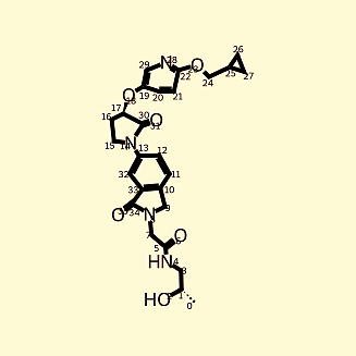 C[C@H](O)CNC(=O)CN1Cc2ccc(N3CC[C@@H](Oc4ccc(OCC5CC5)nc4)C3=O)cc2C1=O